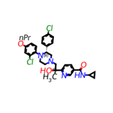 CCCOc1ccc(N2CCN(C[C@@](C)(O)c3ccc(C(=O)NC4CC4)cn3)C[C@H]2c2ccc(Cl)cc2)c(Cl)c1